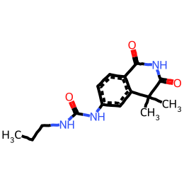 CCCNC(=O)Nc1ccc2c(c1)C(C)(C)C(=O)NC2=O